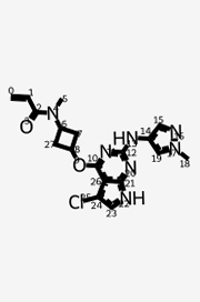 C=CC(=O)N(C)C1CC(Oc2nc(Nc3cnn(C)c3)nc3[nH]cc(Cl)c23)C1